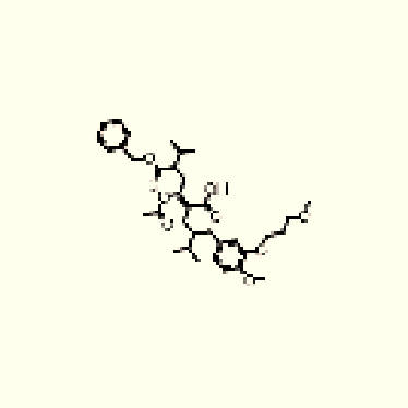 COCCCOc1cc(CC(CC(C(=O)O)=C(CC(C(=O)OCc2ccccc2)C(C)C)OC(C)=O)C(C)C)ccc1OC